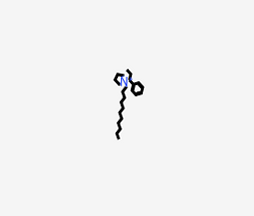 CCCCCCCCCCC[N+]1(C(CC)c2ccccc2)CCCC1